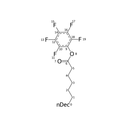 CCCCCCCCCCCCCCCC(=O)Oc1c(F)c(F)c(F)c(F)c1F